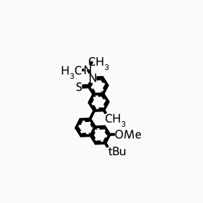 COc1cc2c(-c3cc4c(=S)n(N(C)C)ccc4cc3C)cccc2cc1C(C)(C)C